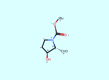 CC(C)(C)OC(=O)N1CC[C@H](O)[C@H]1C=O